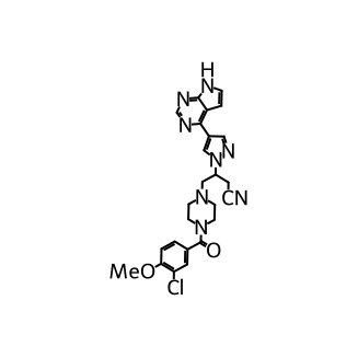 COc1ccc(C(=O)N2CCN(CC(CC#N)n3cc(-c4ncnc5[nH]ccc45)cn3)CC2)cc1Cl